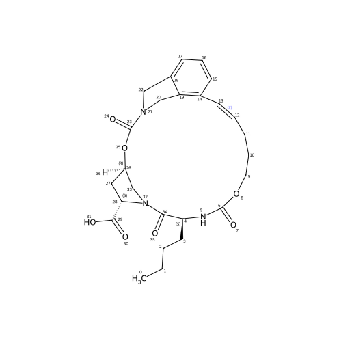 CCCC[C@@H]1NC(=O)OCCC/C=C\c2cccc3c2CN(C3)C(=O)O[C@@H]2C[C@@H](C(=O)O)N(C2)C1=O